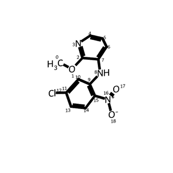 COc1ncccc1Nc1cc(Cl)ccc1[N+](=O)[O-]